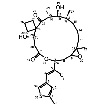 Cc1nc(C=C(Cl)[C@@H]2CC3OC3(C)CCC[C@H](C)[C@H](O)[C@@H](C)C(=O)C3(CCC3)[C@@H](O)CC(=O)O2)cs1